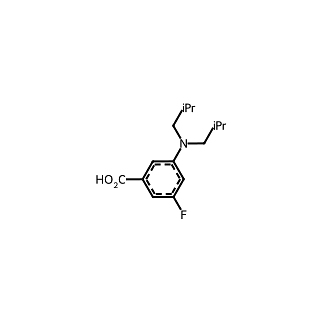 CC(C)CN(CC(C)C)c1cc(F)cc(C(=O)O)c1